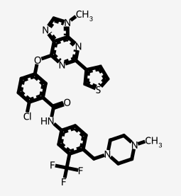 CN1CCN(Cc2ccc(NC(=O)c3cc(Oc4nc(-c5ccsc5)nc5c4ncn5C)ccc3Cl)cc2C(F)(F)F)CC1